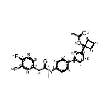 CC(=O)OC1(c2ncc(-c3ccc(NC(=O)Cc4ccc(F)c(F)c4)cc3)s2)CCC1